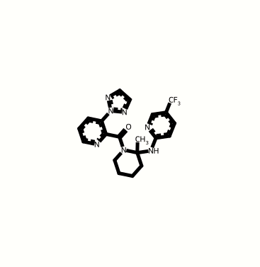 CC1(Nc2ccc(C(F)(F)F)cn2)CCCCN1C(=O)c1ncccc1-n1nccn1